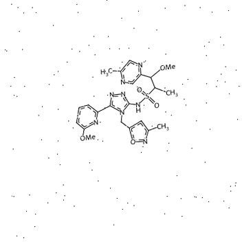 COc1cccc(-c2nnc(NS(=O)(=O)C(C)C(OC)c3cnc(C)cn3)n2Cc2cc(C)no2)n1